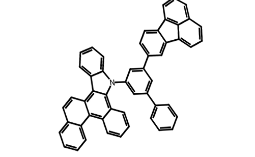 c1ccc(-c2cc(-c3ccc4c(c3)-c3cccc5cccc-4c35)cc(-n3c4ccccc4c4c5ccc6ccccc6c5c5ccccc5c43)c2)cc1